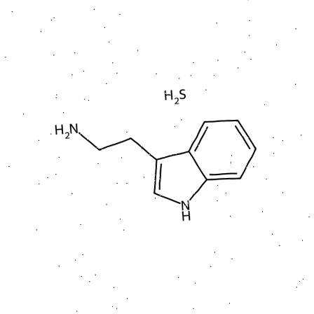 NCCc1c[nH]c2ccccc12.S